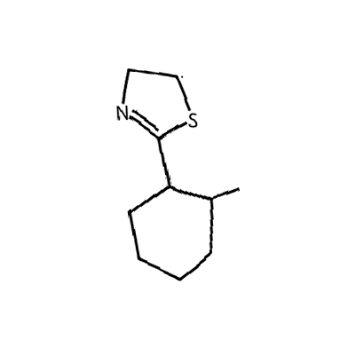 CC1CCCCC1C1=NC[CH]S1